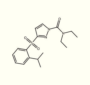 CCN(CC)C(=O)n1ccc(S(=O)(=O)c2ccccc2C(C)C)n1